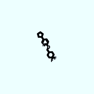 FC1(F)CCC(COc2ccc(C3CCCC3)cn2)CC1